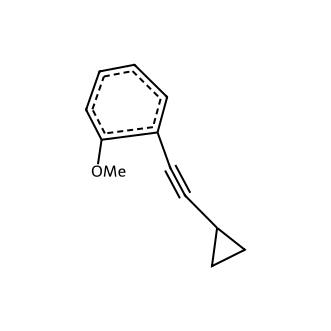 COc1ccccc1C#CC1CC1